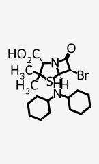 C1CCC(NC2CCCCC2)CC1.CC1(C)S[C@@H]2[C@H](Br)C(=O)N2[C@H]1C(=O)O